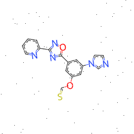 S=COc1cc(-c2nc(-c3ccccn3)no2)cc(-n2ccnc2)c1